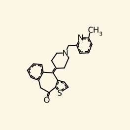 Cc1cccc(CN2CCC(=C3c4ccccc4CC(=O)c4sccc43)CC2)n1